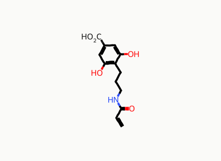 C=CC(=O)NCCCc1c(O)cc(C(=O)O)cc1O